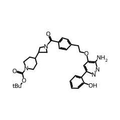 CC(C)(C)OC(=O)N1CCC(C2CN(C(=O)c3ccc(CCOc4cc(-c5ccccc5O)nnc4N)cc3)C2)CC1